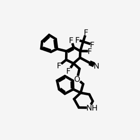 N#CC1C(F)(COCC2(c3ccccc3)CCNCC2)C(F)C(c2ccccc2)=C(F)C1(F)C(F)(F)F